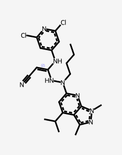 CCCCN(N/C(=C\C#N)Nc1cc(Cl)nc(Cl)c1)c1cc(C(C)C)c2c(C)nn(C)c2n1